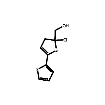 OCC1(Cl)CC=C(c2cccs2)S1